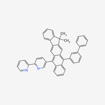 CC1(C)c2ccccc2-c2cc3c(-c4ccc(-c5ccccn5)nc4)c4ccccc4c(-c4cccc(-c5ccccc5)c4)c3cc21